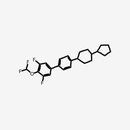 Fc1cc(-c2ccc(C3CCC(C4CCCC4)CC3)cc2)cc(F)c1OC(F)F